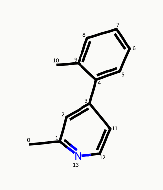 Cc1cc(-c2ccccc2C)ccn1